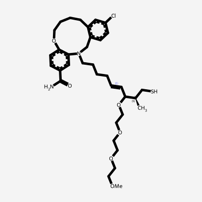 COCCOCCOCCOC(/C=C/CCCCN1Cc2ccc(Cl)cc2CCCCOc2ccc(C(N)=O)cc21)[C@H](C)CS